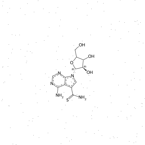 NC(=S)c1cn([C@@H]2OC(CO)C(O)[C@H]2O)c2ncnc(N)c12